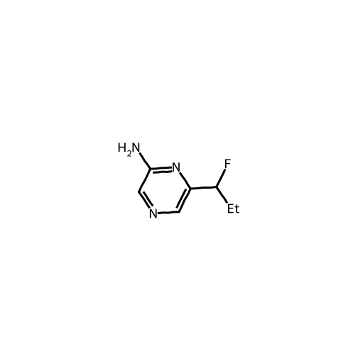 CCC(F)c1cncc(N)n1